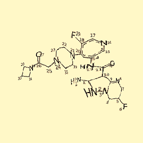 NC1NN2CC(F)CN=C2C1C(=O)Nc1cncc(F)c1N1CCN(CC(=O)N2CCC2)CC1